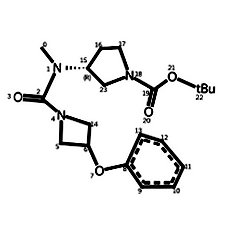 CN(C(=O)N1CC(Oc2ccccc2)C1)[C@@H]1CCN(C(=O)OC(C)(C)C)C1